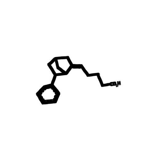 O=C(O)C[CH]CC=C1CC2CC1C(c1ccccc1)C2